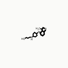 Cc1cncc2cccc(NC3CCC(NCCCO)CC3)c12